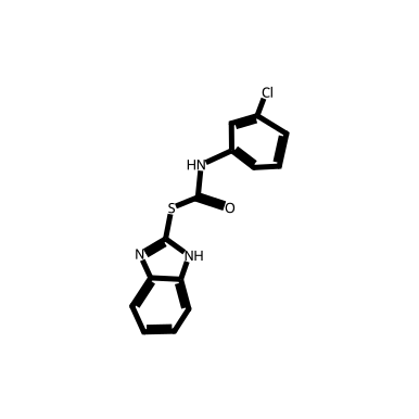 O=C(Nc1cccc(Cl)c1)Sc1nc2ccccc2[nH]1